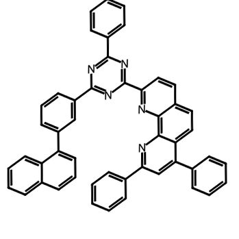 c1ccc(-c2cc(-c3ccccc3)c3ccc4ccc(-c5nc(-c6ccccc6)nc(-c6cccc(-c7cccc8ccccc78)c6)n5)nc4c3n2)cc1